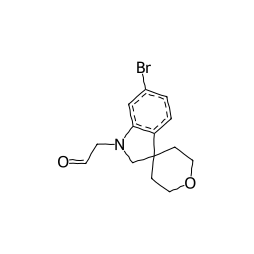 O=CCN1CC2(CCOCC2)c2ccc(Br)cc21